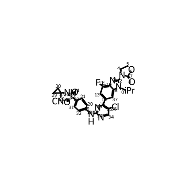 CC(C)n1c(N2CCOC2=O)nc2c(F)cc(-c3nc(Nc4ccc(S(=O)(=O)NC5(C#N)CC5)cc4)ncc3Cl)cc21